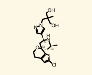 C[C@H]1C[C@@]2(C[C@@H](c3cnn(CC(C)(CO)CO)c3)N1)OCCc1cc(Cl)sc12